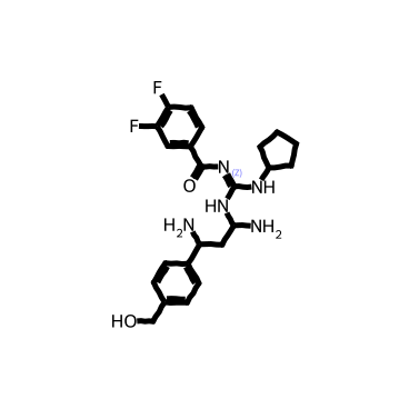 NC(CC(N)c1ccc(CO)cc1)N/C(=N\C(=O)c1ccc(F)c(F)c1)NC1CCCC1